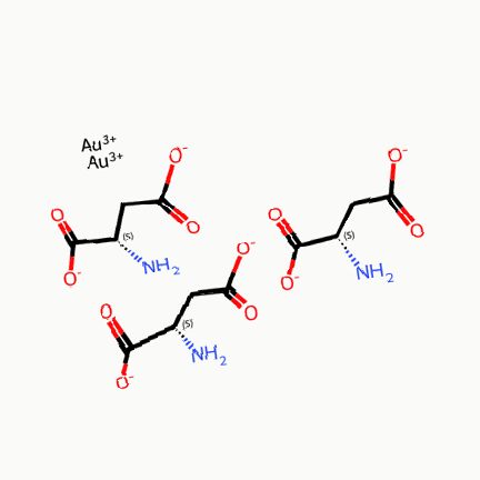 N[C@@H](CC(=O)[O-])C(=O)[O-].N[C@@H](CC(=O)[O-])C(=O)[O-].N[C@@H](CC(=O)[O-])C(=O)[O-].[Au+3].[Au+3]